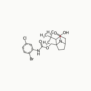 CC(C)(C)C1CCC2CCC1(COC(=O)Nc1cc(Cl)ccc1Br)N2C(=O)O